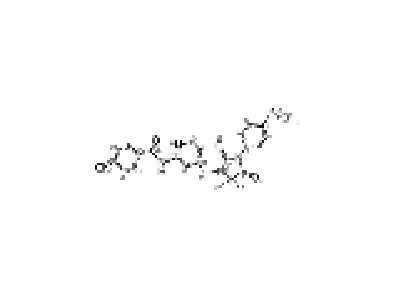 CC1(C)C(=O)N(c2ccc(SC(F)(F)F)cc2)C(=O)N1Cc1ccnc(NC(=O)c2ccc(Cl)cc2)c1